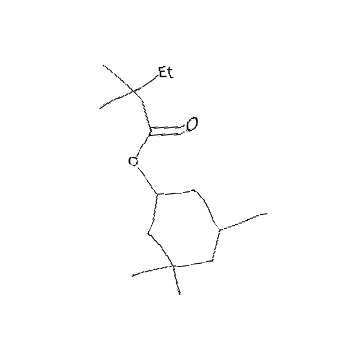 CCC(C)(C)C(=O)OC1CC(C)CC(C)(C)C1